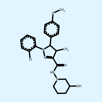 COc1ccc(C2C(C)C(C(=O)NN3CCCC(O)C3)=NN2c2ccccc2Cl)cc1